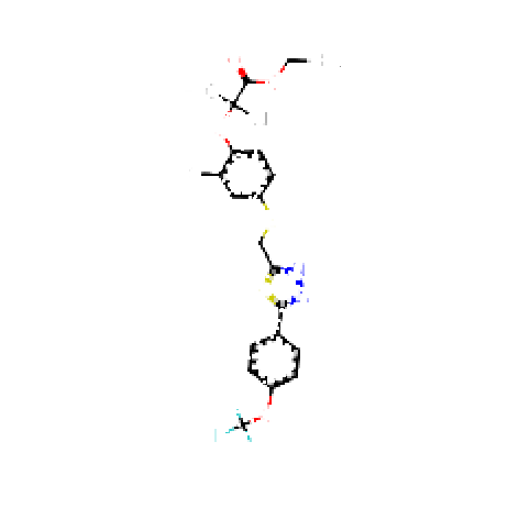 CCOC(=O)C(C)(C)Oc1ccc(SCc2nnc(-c3ccc(OC(F)(F)F)cc3)s2)cc1C